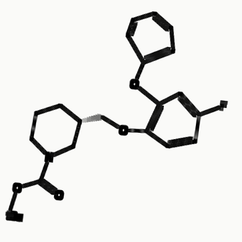 CC(C)(C)OC(=O)N1CCC[C@H](COc2ccc(F)cc2Oc2ccccc2)C1